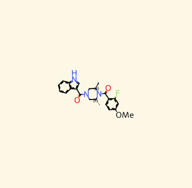 COc1ccc(C(=O)N2[C@H](C)CN(C(=O)c3c[nH]c4ccccc34)C[C@H]2C)c(F)c1